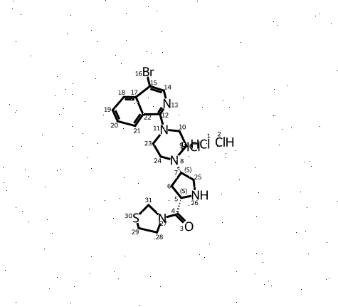 Cl.Cl.Cl.O=C([C@@H]1C[C@H](N2CCN(c3ncc(Br)c4ccccc34)CC2)CN1)N1CCSC1